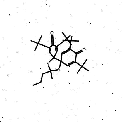 CCCC1(C)SC2(C=C(C(C)(C)C)C(=O)C(C(C)(C)C)=C2)C2(C=C(C(C)(C)C)C(=O)C(C(C)(C)C)=C2)S1